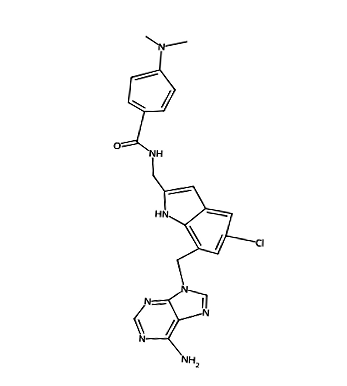 CN(C)c1ccc(C(=O)NCc2cc3cc(Cl)cc(Cn4cnc5c(N)ncnc54)c3[nH]2)cc1